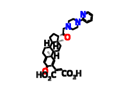 C[C@]12CC[C@H]3[C@@H](CCC4=CC(=O)C(C(=CC(=O)O)C(=O)O)=C[C@@]43C)[C@@H]1CC[C@@H]2C(=O)CN1CCN(c2ccccn2)CC1